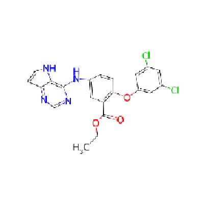 CCOC(=O)c1cc(Nc2ncnc3cc[nH]c23)ccc1Oc1cc(Cl)cc(Cl)c1